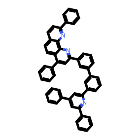 c1ccc(-c2cc(-c3ccccc3)nc(-c3cccc(-c4cccc(-c5cc(-c6ccccc6)c6ccc7ccc(-c8ccccc8)nc7c6n5)c4)c3)c2)cc1